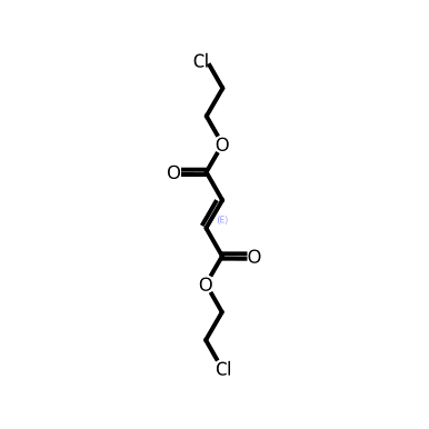 O=C(/C=C/C(=O)OCCCl)OCCCl